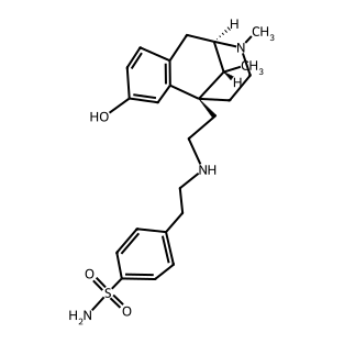 C[C@H]1[C@H]2Cc3ccc(O)cc3[C@@]1(CCNCCc1ccc(S(N)(=O)=O)cc1)CCN2C